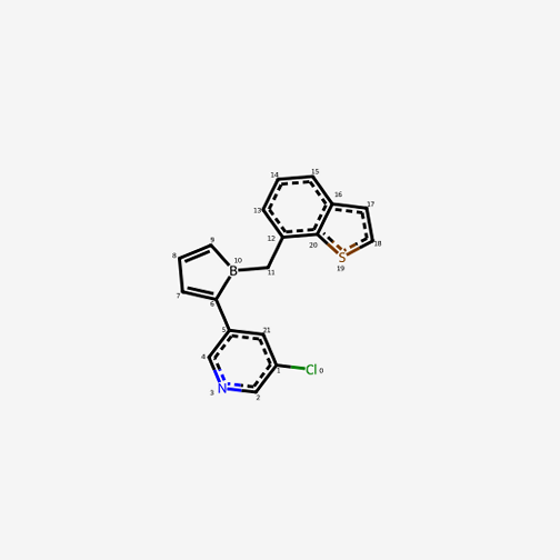 Clc1cncc(C2=CC=CB2Cc2cccc3ccsc23)c1